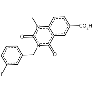 Cn1c(=O)n(Cc2cccc(I)c2)c(=O)c2cc(C(=O)O)ccc21